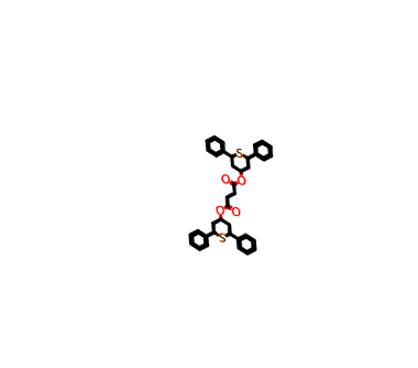 O=C(CCC(=O)OC1CC(c2ccccc2)SC(c2ccccc2)C1)OC1CC(c2ccccc2)SC(c2ccccc2)C1